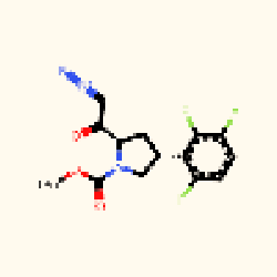 CC(C)(C)OC(=O)N1C[C@@H](c2c(F)ccc(F)c2F)C[C@@H]1C(=O)C=[N+]=[N-]